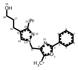 Cc1oc(-c2ccccc2)nc1Cn1cc(CCCO)c(C(C)C)n1